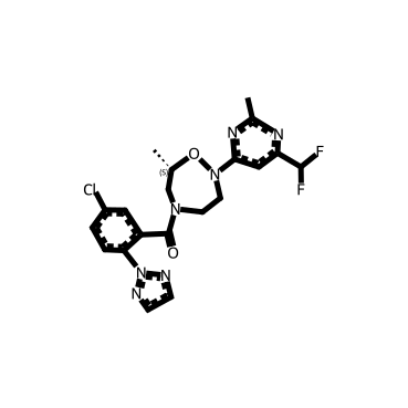 Cc1nc(C(F)F)cc(N2CCN(C(=O)c3cc(Cl)ccc3-n3nccn3)C[C@H](C)O2)n1